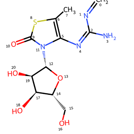 C=N/C(N)=N\c1c(C)sc(=O)n1[C@@H]1O[C@H](CO)[C@@H](O)[C@H]1O